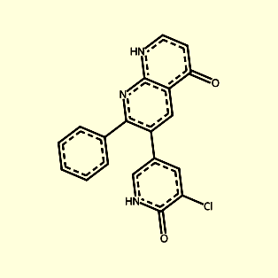 O=c1[nH]cc(-c2cc3c(=O)cc[nH]c3nc2-c2ccccc2)cc1Cl